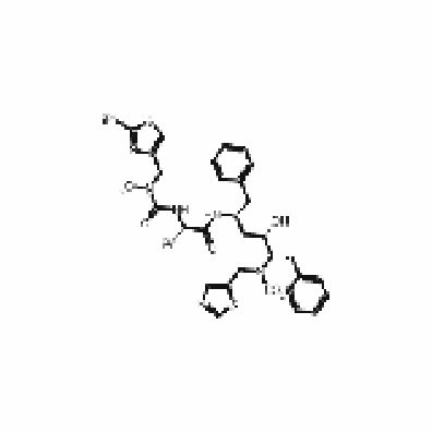 CC(C)c1nc(CN(C)C(=O)N[C@H](C(=O)N[C@@H](Cc2ccccc2)C[C@H](O)[C@H](Cc2ccccc2)N(Cc2cncs2)C(=O)O)C(C)C)cs1